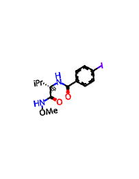 CONC(=O)[C@@H](NC(=O)c1ccc(I)cc1)C(C)C